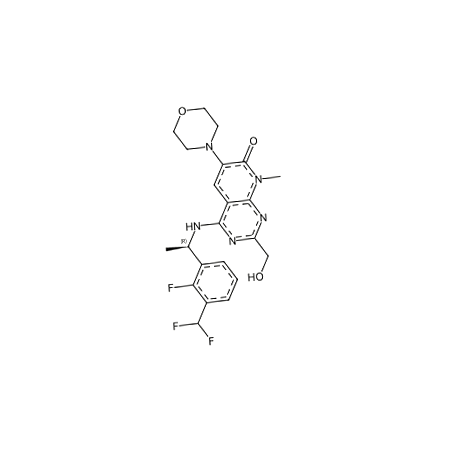 C[C@@H](Nc1nc(CO)nc2c1cc(N1CCOCC1)c(=O)n2C)c1cccc(C(F)F)c1F